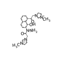 C[n+]1ccn(CC(=O)c2cccc3ccc(N(N)C(=O)Cn4cc[n+](C)c4)c(O)c23)c1